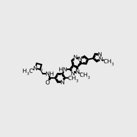 Cc1ncc(C(=O)NC[C@@H]2CCN2C)cc1Nc1nn(C)c2c1cnn1cc(-c3cnn(C)c3)cc21